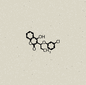 CCC(Oc1cccc(Cl)c1)c1c(O)c2ccccc2oc1=O